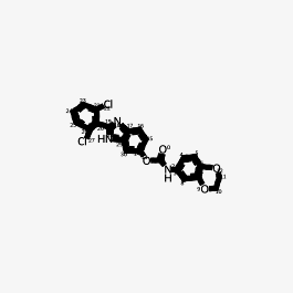 O=C(Nc1ccc2c(c1)OCCO2)Oc1ccc2nc(-c3c(Cl)cccc3Cl)[nH]c2c1